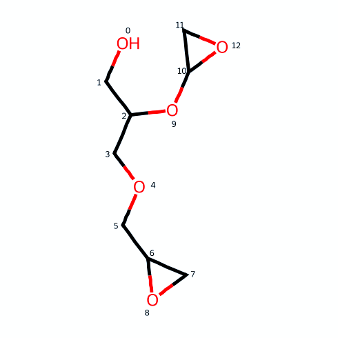 OCC(COCC1CO1)OC1CO1